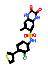 Cc1cc2[nH]c(=O)c(=O)[nH]c2cc1S(=O)(=O)Nc1ccc(-c2ccsc2)c(Cl)c1